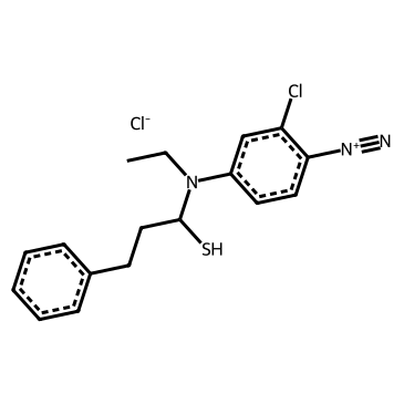 CCN(c1ccc([N+]#N)c(Cl)c1)C(S)CCc1ccccc1.[Cl-]